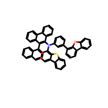 c1cc(-c2cccc3c2oc2ccccc23)cc(N(c2c(-c3cccc4ccccc34)c3ccccc3c3ccccc23)c2cccc3c2sc2ccccc23)c1